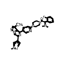 CN(C)C(C(=O)N1CCN(c2ccc(-c3nc(-c4cnn(C)c4)cn4ncc(C#N)c34)cn2)CC1)c1ccccc1F